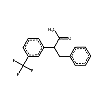 CC(=O)C(Cc1ccccc1)c1cccc(C(F)(F)F)c1